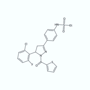 CCS(=O)(=O)Nc1ccc(C2=NN(C(=O)c3cccs3)C(c3c(F)cccc3Cl)C2)cc1